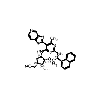 Cc1nc(N[C@H](C)c2cccc3ccccc23)nc(N[C@@H]2C[C@H](CO)[C@@H](O)[C@H]2O)c1-c1nc2cnccc2s1